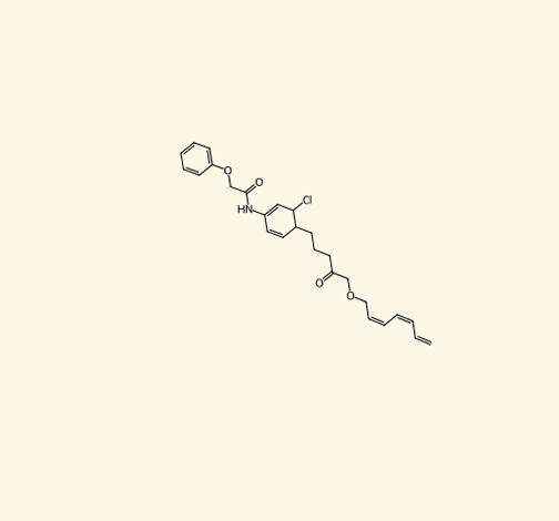 C=C/C=C\C=C/COCC(=O)CCCC1C=CC(NC(=O)COc2ccccc2)=CC1Cl